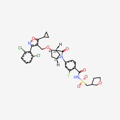 O=C(NS(=O)(=O)CC1CCOC1)c1ccc(N2C(=O)[C@@H]3C[C@H]2C[C@H]3OCc2c(-c3c(Cl)cccc3Cl)noc2C2CC2)cc1F